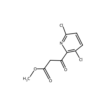 COC(=O)CC(=O)c1nc(Cl)ccc1Cl